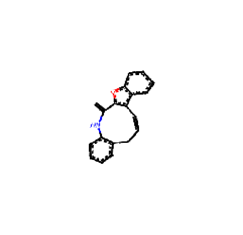 C=C1Nc2ccccc2C/C=C\c2c1oc1ccccc21